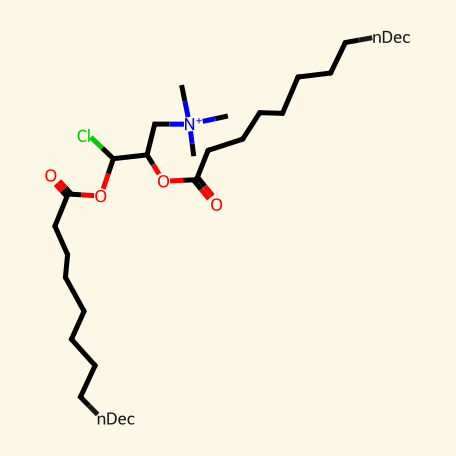 CCCCCCCCCCCCCCCCCC(=O)OC(Cl)C(C[N+](C)(C)C)OC(=O)CCCCCCCCCCCCCCCCC